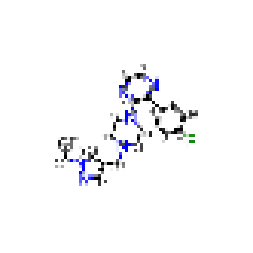 Fc1ccc(-c2nccnc2N2CCN(Cc3cnn(CC(F)(F)F)c3)CC2)cc1